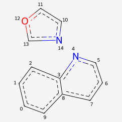 c1ccc2ncccc2c1.c1cocn1